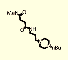 CCCCN1CCN(CCCNC(=O)CCC(=O)NC)CC1